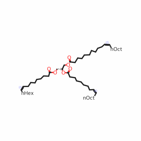 CCCCCC/C=C\CCCCCCCC(=O)OC[C@H](COC(=O)CCCCCCCCC/C=C\CCCCCCCC)OC(=O)CCCCCCC/C=C\CCCCCCCC